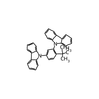 CC(C)(C)c1ccc(-n2c3ccccc3c3ccccc32)cc1-n1c2ccccc2c2ccccc21